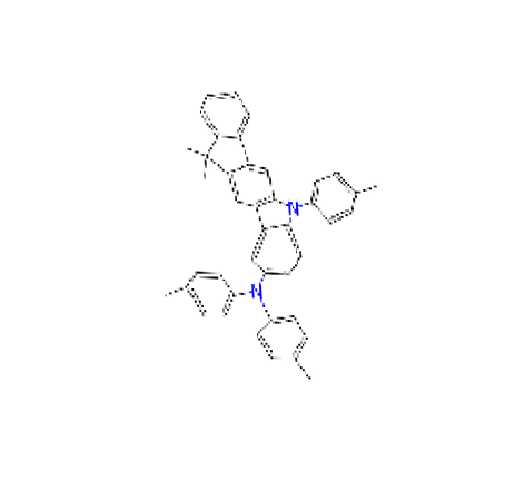 Cc1ccc(N(c2ccc(C)cc2)c2ccc3c(c2)c2cc4c(cc2n3-c2ccc(C)cc2)-c2ccccc2C4(C)C)cc1